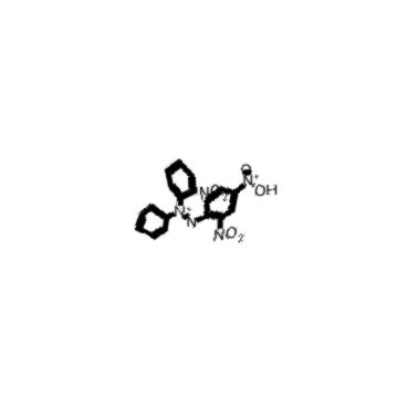 O=[N+]([O-])c1cc([N+](=O)O)cc([N+](=O)[O-])c1N=[N+](c1ccccc1)c1ccccc1